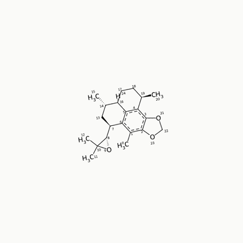 Cc1c2c(c3c4c1[C@@H]([C@@H]1OC1(C)C)C[C@H](C)[C@H]4CC[C@H]3C)OCO2